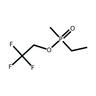 CCP(C)(=O)OCC(F)(F)F